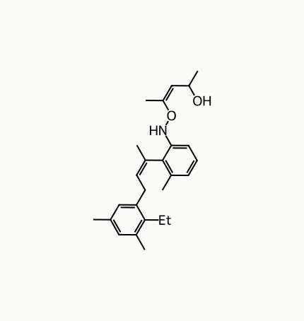 CCc1c(C)cc(C)cc1C/C=C(/C)c1c(C)cccc1NO/C(C)=C\C(C)O